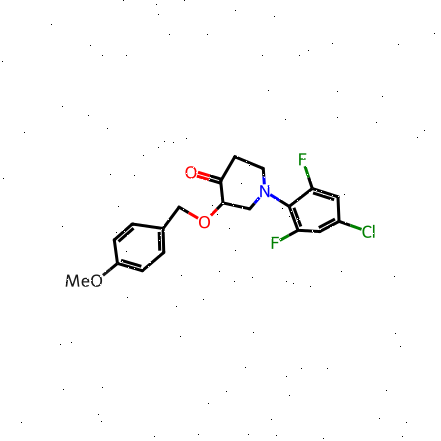 COc1ccc(COC2CN(c3c(F)cc(Cl)cc3F)CCC2=O)cc1